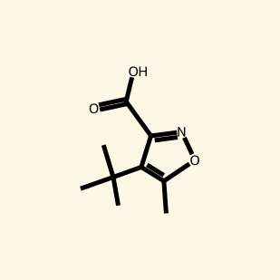 Cc1onc(C(=O)O)c1C(C)(C)C